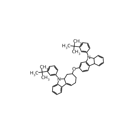 CC(C)(C)c1cccc(N2c3ccccc3C3=CCCC(Oc4ccc5c(c4)N(c4cccc(C(C)(C)C)c4)C4C=CC=CC54)CC32)c1